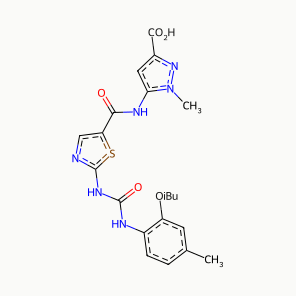 Cc1ccc(NC(=O)Nc2ncc(C(=O)Nc3cc(C(=O)O)nn3C)s2)c(OCC(C)C)c1